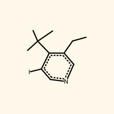 CCc1cncc(I)c1C(C)(C)C